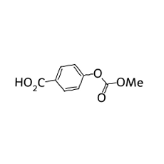 COC(=O)Oc1ccc(C(=O)O)cc1